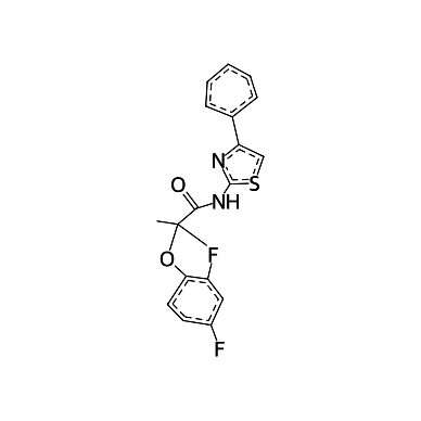 CC(C)(Oc1ccc(F)cc1F)C(=O)Nc1nc(-c2ccccc2)cs1